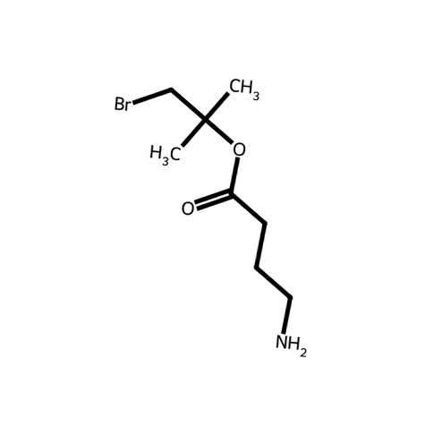 CC(C)(CBr)OC(=O)CCCN